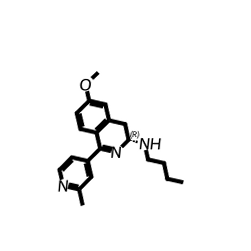 CCCCN[C@H]1Cc2cc(OC)ccc2C(c2ccnc(C)c2)=N1